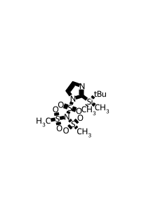 CC(C)(C)[Si](C)(C)c1nccn1S(=O)(=O)N(S(C)(=O)=O)S(C)(=O)=O